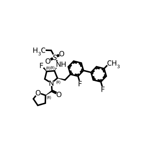 CCS(=O)(=O)N[C@H]1[C@H](F)CN(C(=O)[C@H]2CCCO2)[C@@H]1Cc1cccc(-c2cc(C)cc(F)c2)c1F